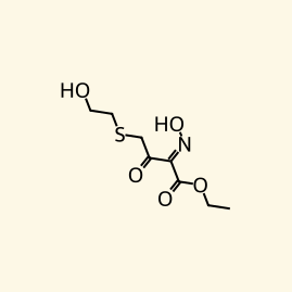 CCOC(=O)C(=NO)C(=O)CSCCO